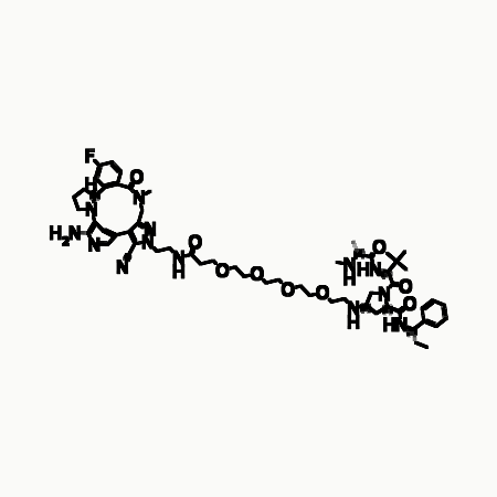 CC[C@H](NC(=O)[C@H]1C[C@@H](NCCOCCOCCOCCOCCC(=O)NCCn2nc3c(c2C#N)-c2cnc(N)c(c2)N2CCC[C@@H]2c2cc(F)ccc2C(=O)N(C)C3)CN1C(=O)[C@H](NC(=O)[C@@H](C)NC)C(C)(C)C)c1ccccc1